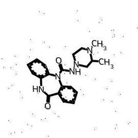 CC1CN(NC(=O)N2c3ccccc3NC(=O)c3ccccc32)CCN1C